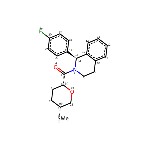 CS[C@@H]1CC[C@H](C(=O)N2CCc3ccccc3[C@@H]2c2ccc(F)cc2)OC1